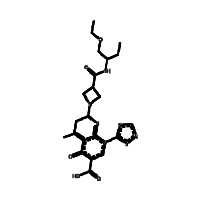 CCOCC(CC)NC(=O)C1CN(C2CC(C)=c3c(=O)c(C(=O)O)cn(-c4ncns4)c3=N2)C1